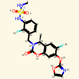 CNS(=O)(=O)Nc1cccc(CN2C(=O)Oc3cc(Oc4ncco4)c(F)cc3[C@@H]2C)c1F